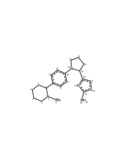 CC(C)(C)N1CCCCC1c1ccc(N2CCCC2c2csc(N)n2)cc1